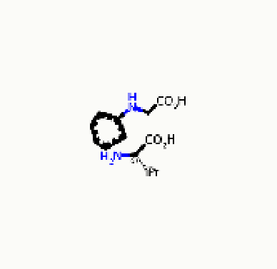 CC(C)[C@H](N)C(=O)O.O=C(O)CNc1ccccc1